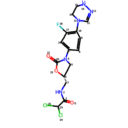 O=C(NC[C@H]1CN(c2ccc(N3C=NNCC3)c(F)c2)C(=O)O1)C(Cl)Cl